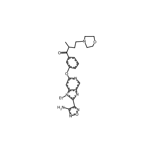 CCn1c(-c2nonc2N)nc2cnc(Oc3cccc(C(=O)C(C)CCN4CCOCC4)c3)cc21